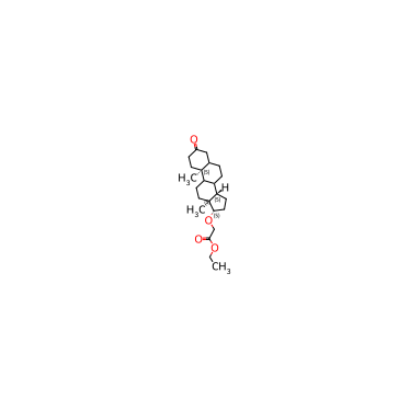 CCOC(=O)CO[C@H]1CC[C@H]2C3CCC4CC(=O)CC[C@]4(C)C3CC[C@]12C